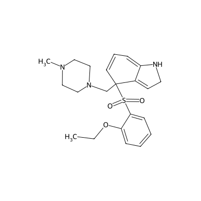 CCOc1ccccc1S(=O)(=O)C1(CN2CCN(C)CC2)C=CC=C2NCC=C21